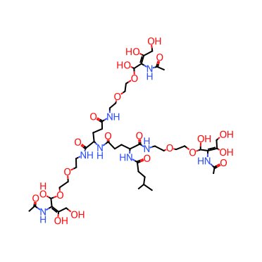 CC(=O)N/C(=C(\O)CO)C(O)OCCOCCNC(=O)C(CCC(=O)NCCOCCOC(O)/C(NC(C)=O)=C(\O)CO)NC(=O)CCC(NC(=O)CCC(C)C)C(=O)NCCOCCOC(O)/C(NC(C)=O)=C(/O)CO